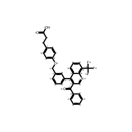 O=C(O)CCc1ccc(OCc2cccc(-c3c(C(=O)c4ccccc4)cnc4c(C(F)(F)F)cccc34)c2)cc1